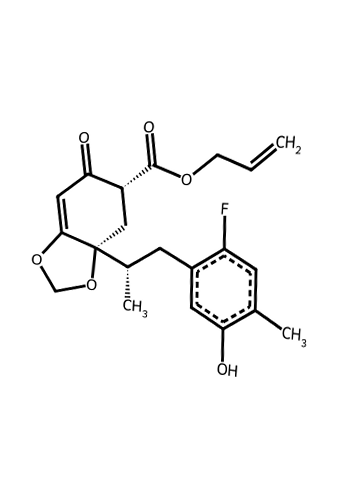 C=CCOC(=O)[C@@H]1C[C@]2([C@@H](C)Cc3cc(O)c(C)cc3F)OCOC2=CC1=O